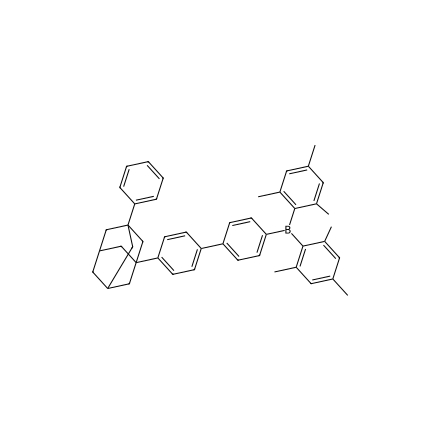 Cc1cc(C)c(B(c2ccc(-c3ccc(C45CC6CC(CC(c7ccccc7)(C6)C4)C5)cc3)cc2)c2c(C)cc(C)cc2C)c(C)c1